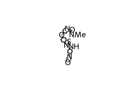 CNC(=O)c1cc(Oc2ccc3nc(Nc4ccc(N5CCOCC5)cc4)sc3c2)ccn1